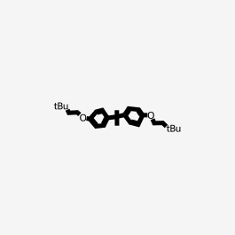 CC(C)(C)CCOc1ccc(C(C)(C)c2ccc(OCCC(C)(C)C)cc2)cc1